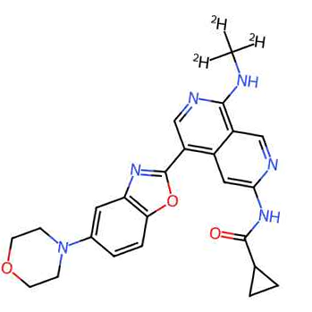 [2H]C([2H])([2H])Nc1ncc(-c2nc3cc(N4CCOCC4)ccc3o2)c2cc(NC(=O)C3CC3)ncc12